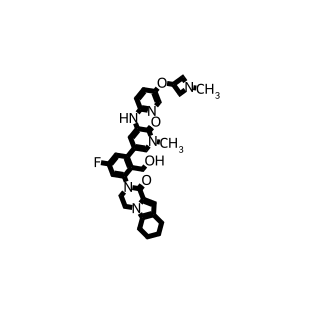 CN1CC(Oc2ccc(Nc3cc(-c4cc(F)cc(N5CCn6c(cc7c6CCCC7)C5=O)c4CO)cn(C)c3=O)nc2)C1